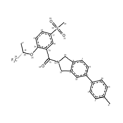 Cc1ccc(-c2ccc3c(c2)CN(C(=O)c2cc(S(C)(=O)=O)ccc2O[C@@H](C)C(F)(F)F)C3)cc1